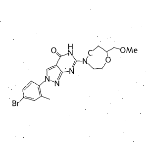 COCC1CCN(c2nc3nn(-c4ccc(Br)cc4C)cc3c(=O)[nH]2)CCO1